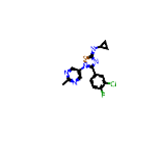 Cc1ncc(-n2sc(=NC3CC3)nc2-c2ccc(F)c(Cl)c2)cn1